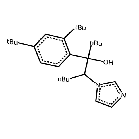 CCCCC(n1ccnc1)C(O)(CCCC)c1ccc(C(C)(C)C)cc1C(C)(C)C